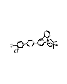 CC12CC3CC1CC2CC31c2ccccc2-c2cc(-c3ccc(-c4ccc(Cl)c(Cl)c4)cc3)ccc21